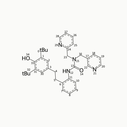 CC(C)(C)c1cc(CCc2ccccc2NC(=O)N(Cc2cccnc2)Cc2ccccn2)cc(C(C)(C)C)c1O